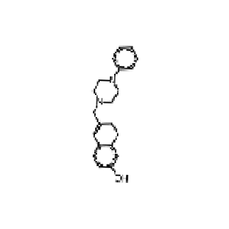 Oc1ccc2c(c1)CCC(CN1CCN(c3ccccc3)CC1)=C2